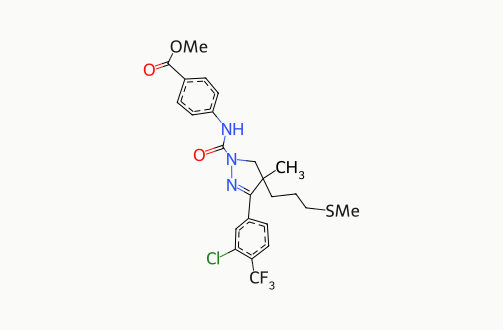 COC(=O)c1ccc(NC(=O)N2CC(C)(CCCSC)C(c3ccc(C(F)(F)F)c(Cl)c3)=N2)cc1